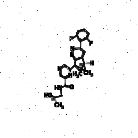 C[C@H](O)CNC(=O)c1cncc(C23CC[C@H](c4cc(-c5c(F)cccc5F)nnc42)C3(C)C)n1